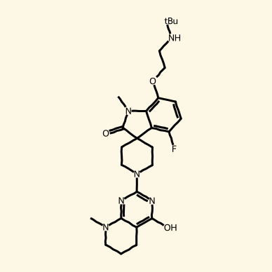 CN1CCCc2c(O)nc(N3CCC4(CC3)C(=O)N(C)c3c(OCCNC(C)(C)C)ccc(F)c34)nc21